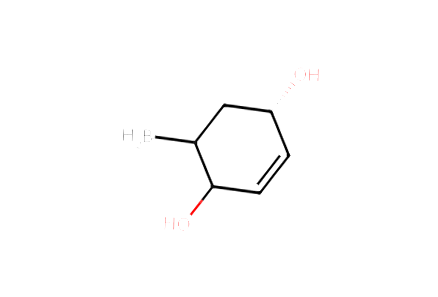 BC1C[C@H](O)C=CC1O